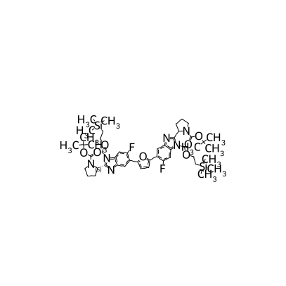 CC(C)(C)OC(=O)N1CCCC1c1nc2cc(-c3ccc(-c4cc5nc([C@@H]6CCCN6C(=O)OC(C)(C)C)n(COCC[Si](C)(C)C)c5cc4F)o3)c(F)cc2n1COCC[Si](C)(C)C